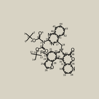 CC(C)(C)OC(=O)N(C(=O)OC(C)(C)C)c1nc(Cn2c3cc(F)c4ccoc4c3c3c4cccnc4oc(=O)c32)c2ccccc2n1